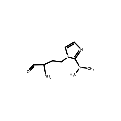 CN(C)c1nccn1CCC(N)C=O